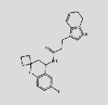 O=C(CCc1c[nH]c2c1C=CCC2)NC1CC2(CCC2)Oc2ccc(I)cc21